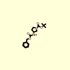 CC(C)(C)OC(=O)N1CC[C@H](NC(=O)OCc2ccccc2)C1